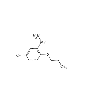 CCCSc1ccc(Cl)cc1NN